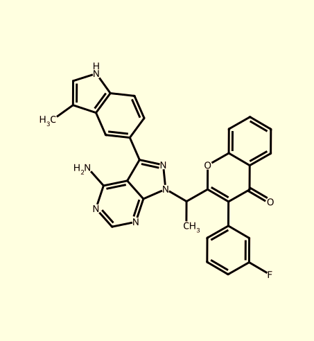 Cc1c[nH]c2ccc(-c3nn(C(C)c4oc5ccccc5c(=O)c4-c4cccc(F)c4)c4ncnc(N)c34)cc12